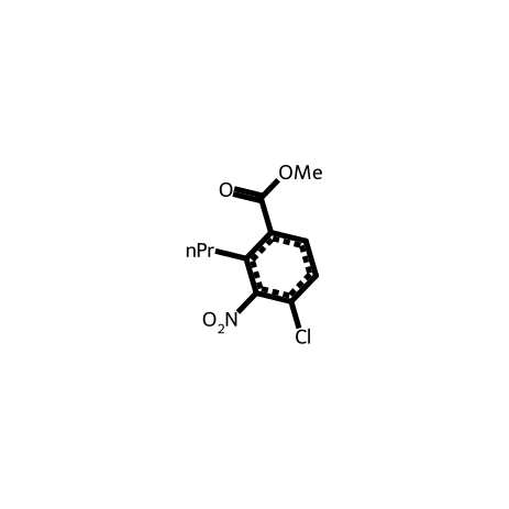 CCCc1c(C(=O)OC)ccc(Cl)c1[N+](=O)[O-]